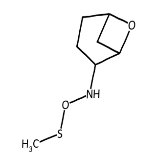 CSONC1CCC2CC1O2